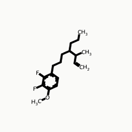 C=CC(C)C(CCC)CCCc1ccc(OC)c(F)c1F